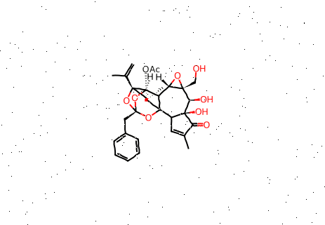 C=C(C)[C@@]12O[C@]3(Cc4ccccc4)O[C@@H]1C1[C@@H]4O[C@]4(CO)[C@@H](O)[C@]4(O)C(=O)C(C)=CC4C1(O3)[C@H](C)[C@H]2OC(C)=O